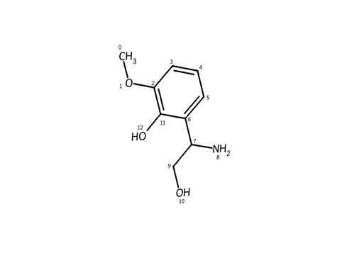 COc1cccc(C(N)CO)c1O